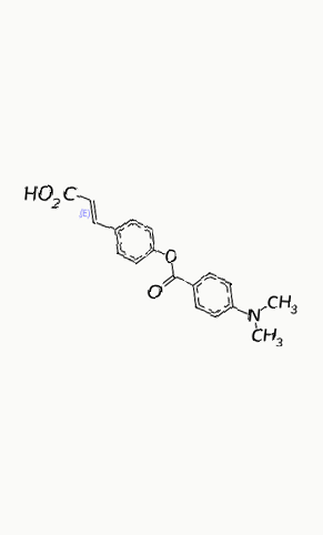 CN(C)c1ccc(C(=O)Oc2ccc(/C=C/C(=O)O)cc2)cc1